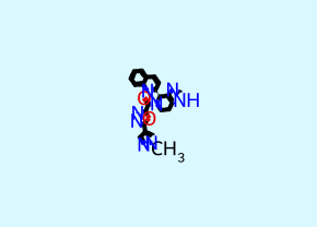 Cn1cc(-c2nnc(C(=O)N3CCc4[nH]cnc4[C@H]3c3ccc4ccccc4n3)o2)cn1